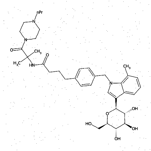 CCCN1CCN(C(=O)C(C)(C)NC(=O)CCCc2ccc(Cn3cc([C@@H]4O[C@H](CO)[C@@H](O)[C@H](O)[C@H]4O)c4cccc(C)c43)cc2)CC1